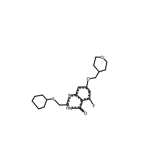 O=c1[nH]c(CSC2CCCCC2)nc2cc(OCC3CCOCC3)cc(F)c12